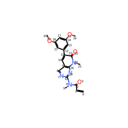 C=CC(=O)N(C)c1ncc2cc(-c3cc(OC)cc(OC)c3)c(=O)n(C)c2n1